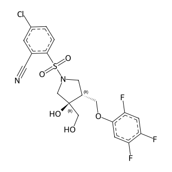 N#Cc1cc(Cl)ccc1S(=O)(=O)N1C[C@H](COc2cc(F)c(F)cc2F)[C@](O)(CO)C1